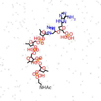 CC(=O)NCCCOP(=O)(O)OC1CC(C)OC1COP(=O)(O)OC1CC(C)OC1COP(=O)(O)OC1CC(C)OC1COP(=O)(O)OC1CC(C)OC1CNCC(N=[N+]=[N-])OC1CC(c2nc3c(N)ncnc3[nH]2)OC1COP(=O)(O)O